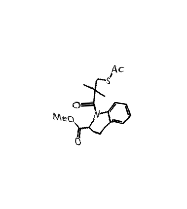 COC(=O)C1Cc2ccccc2N1C(=O)C(C)(C)CSC(C)=O